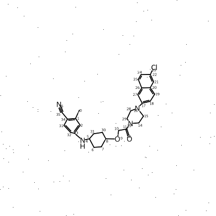 Cc1cc(NC2CCC(OCC(=O)N3CCN(c4ccc5cc(Cl)ccc5c4)CC3)CC2)ccc1C#N